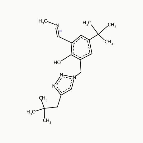 C/N=C/c1cc(C(C)(C)C)cc(Cn2cc(CC(C)(C)C)nn2)c1O